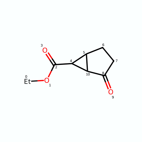 CCOC(=O)C1C2CCC(=O)C21